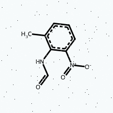 Cc1cccc([N+](=O)[O-])c1NC=O